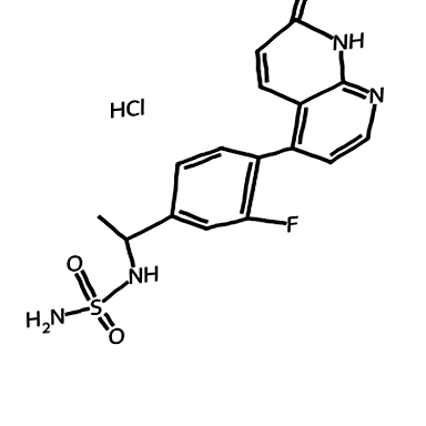 CC(NS(N)(=O)=O)c1ccc(-c2ccnc3[nH]c(=O)ccc23)c(F)c1.Cl